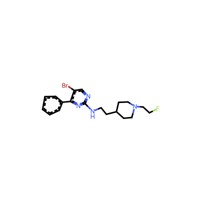 FCCN1CCC(CCNc2ncc(Br)c(-c3ccccc3)n2)CC1